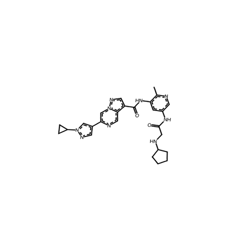 Cc1ncc(NC(=O)CNC2CCCC2)cc1NC(=O)c1cnn2cc(-c3cnn(C4CC4)c3)ncc12